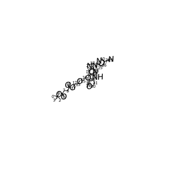 CC(C)(C)OC(=O)CCC(=O)OCCOCCOc1cc2ncn(-c3ccc(C#N)cn3)c2nc1NC1CCOCC1